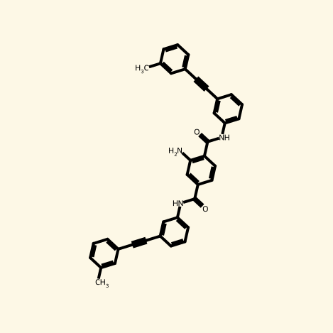 Cc1cccc(C#Cc2cccc(NC(=O)c3ccc(C(=O)Nc4cccc(C#Cc5cccc(C)c5)c4)c(N)c3)c2)c1